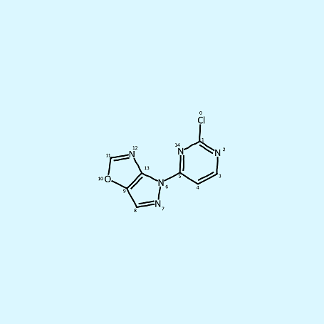 Clc1nccc(-n2ncc3ocnc32)n1